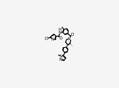 Cc1ccc(C(=O)N2CC[C@H](c3ccc(-c4ccnn4C)cc3)[C@@H](C)C2)cc1NC(=O)c1ccc(Cl)nc1